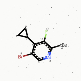 CC(C)(C)c1ncc(Br)c(C2CC2)c1F